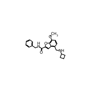 COc1ccc(CNC2CCC2)c2cc(C(=O)NCc3ccccc3)oc12